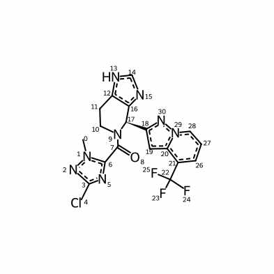 Cn1nc(Cl)nc1C(=O)N1CCc2[nH]cnc2[C@H]1c1cc2c(C(F)(F)F)cccn2n1